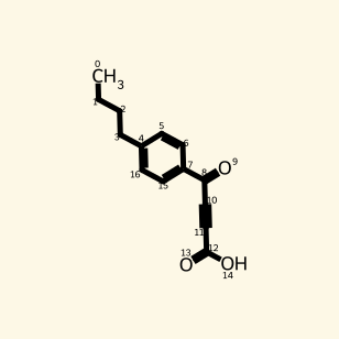 CCCCc1ccc(C(=O)C#CC(=O)O)cc1